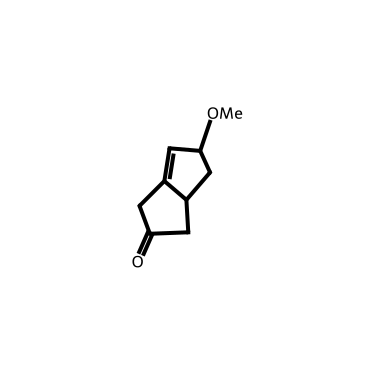 COC1C=C2CC(=O)CC2C1